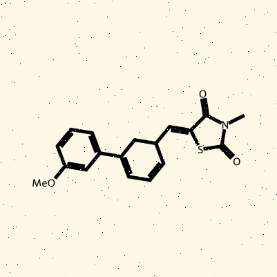 COc1cccc(C2=CC=CC(/C=C3\SC(=O)N(C)C3=O)C2)c1